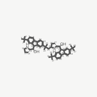 CC(C)(C)c1ccc2c(c1)C([C@@H](O)[C@@H]1CCCN1)c1cc(C(C)(C)CC3CC[C@H]([C@@H](O)C4c5cc(C(C)(C)C)ccc5-c5ccc(C(C)(C)C)cc54)N3)ccc1-2